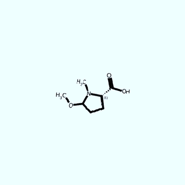 COC1CC[C@@H](C(=O)O)N1C